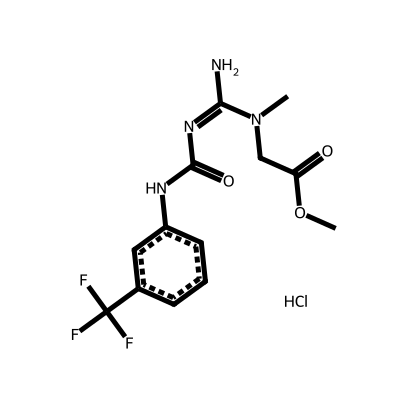 COC(=O)CN(C)/C(N)=N\C(=O)Nc1cccc(C(F)(F)F)c1.Cl